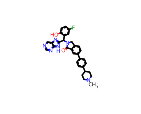 CN1CCC(c2ccc(-c3ccc4c(c3)C(=O)N(C(c3nc5cncnc5[nH]3)c3cc(F)ccc3O)C4)cc2)CC1